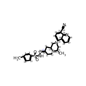 Cc1ccc(S(=O)(=O)N/N=C2\CCN3C(C2)CN(c2ccc(C#N)c4ncccc24)C[C@H]3C)cc1